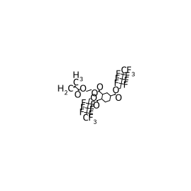 C=C(C)C(=O)OCCOC(=O)C1CC(C(=O)OCC(F)(F)C(F)(F)C(F)(F)C(F)(F)F)CCC1C(=O)OCC(F)(F)C(F)(F)C(F)(F)C(F)(F)F